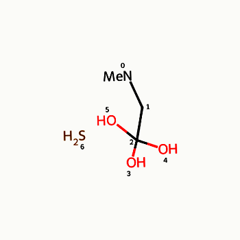 CNCC(O)(O)O.S